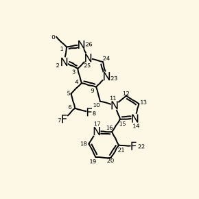 Cc1nc2c(CC(F)F)c(Cn3ccnc3-c3ncccc3F)ncn2n1